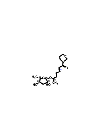 C[C@H](CC/C=C/C(=O)N1CCCCC1)O[C@@H]1O[C@@H](C)[C@H](O)C[C@H]1O